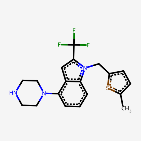 Cc1ccc(Cn2c(C(F)(F)F)cc3c(N4CCNCC4)cccc32)s1